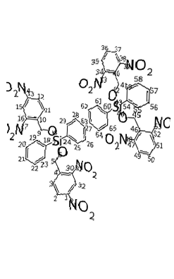 O=[N+]([O-])c1ccc(CO[Si](OCc2ccc([N+](=O)[O-])cc2[N+](=O)[O-])(c2ccccc2)c2ccccc2)c([N+](=O)[O-])c1.O=[N+]([O-])c1cccc([N+](=O)[O-])c1CO[Si](OCc1c([N+](=O)[O-])cccc1[N+](=O)[O-])(c1ccccc1)c1ccccc1